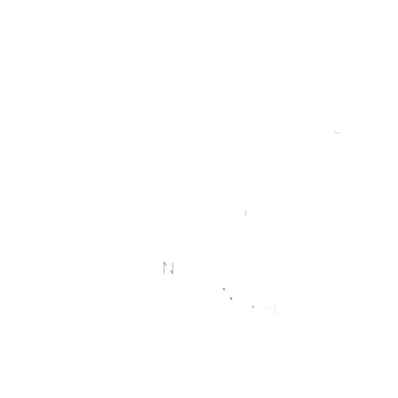 CN1CCN(CC2CCc3ccccc32)CC1COc1ccc(F)cc1